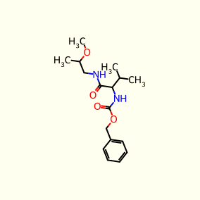 COC(C)CNC(=O)C(NC(=O)OCc1ccccc1)C(C)C